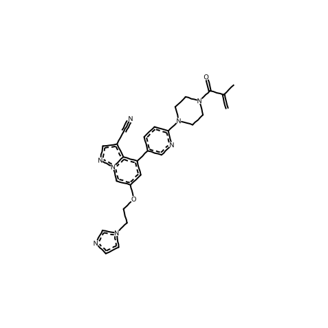 C=C(C)C(=O)N1CCN(c2ccc(-c3cc(OCCn4ccnc4)cn4ncc(C#N)c34)cn2)CC1